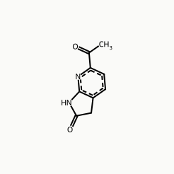 CC(=O)c1ccc2c(n1)NC(=O)C2